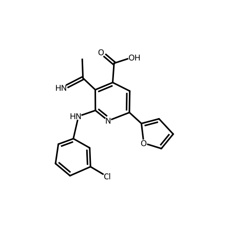 CC(=N)c1c(C(=O)O)cc(-c2ccco2)nc1Nc1cccc(Cl)c1